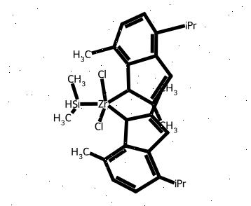 CC1=Cc2c(C(C)C)ccc(C)c2[CH]1[Zr]([Cl])([Cl])([CH]1C(C)=Cc2c(C(C)C)ccc(C)c21)[SiH](C)C